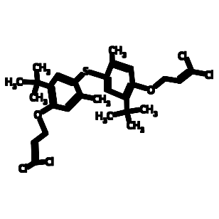 Cc1cc(OCC=C(Cl)Cl)c(C(C)(C)C)cc1Sc1cc(C(C)(C)C)c(OCC=C(Cl)Cl)cc1C